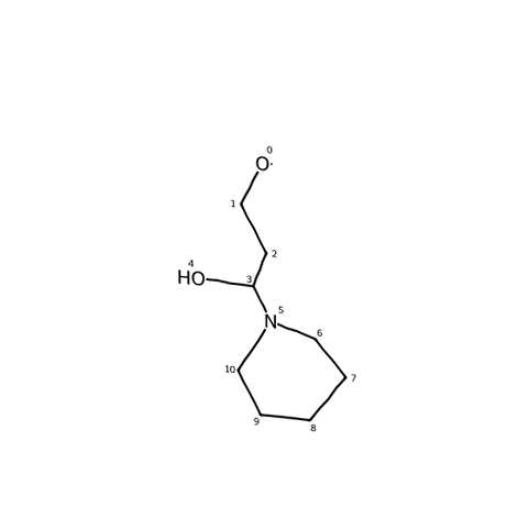 [O]CCC(O)N1CCCCC1